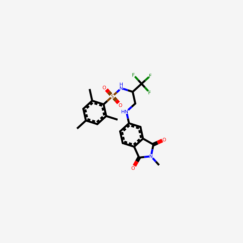 Cc1cc(C)c(S(=O)(=O)NC(CNc2ccc3c(c2)C(=O)N(C)C3=O)C(F)(F)F)c(C)c1